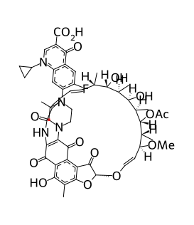 CO[C@H]1/C=C/O[C@@]2(C)Oc3c(C)c(O)c4c(c3C2=O)C(=O)C(N2CCN(c3cc5c(cc3F)c(=O)c(C(=O)O)cn5C3CC3)CC2)=C(NC(=O)/C(C)=C\C=C\[C@H](C)[C@H](O)[C@@H](C)[C@@H](O)[C@@H](C)[C@H](OC(C)=O)[C@@H]1C)C4=O